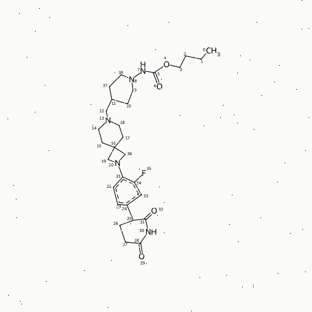 CCCCOC(=O)NN1CCC(CN2CCC3(CC2)CN(c2ccc(C4CCC(=O)NC4=O)cc2F)C3)CC1